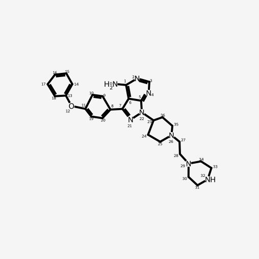 Nc1ncnc2c1c(-c1ccc(Oc3ccccc3)cc1)nn2C1CCN(CCN2CCNCC2)CC1